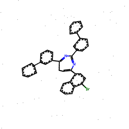 Brc1ccc(C2=CCC(c3cccc(-c4ccccc4)c3)=NC(c3cccc(-c4ccccc4)c3)=N2)c2ccccc12